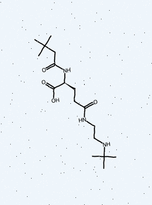 CC(C)(C)CC(=O)N[C@@H](CCC(=O)NCCNC(C)(C)C)C(=O)O